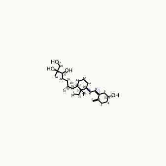 C=C1CC[C@H](O)C/C1=C/C=C1\CCC[C@]2(C)[C@@H]([C@H](C)CCC(O)C(C)(O)CO)CC[C@@H]12